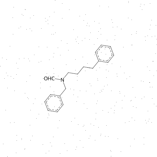 O=[C]N(CCCCc1ccccc1)Cc1ccccc1